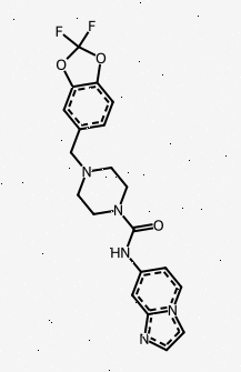 O=C(Nc1ccn2ccnc2c1)N1CCN(Cc2ccc3c(c2)OC(F)(F)O3)CC1